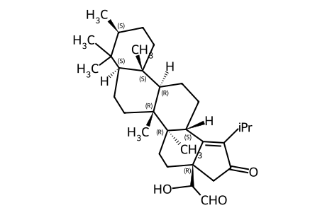 CC(C)C1=C2[C@H]3CC[C@@H]4[C@@]5(C)CC[C@H](C)C(C)(C)[C@@H]5CC[C@@]4(C)[C@]3(C)CC[C@@]2(C(O)C=O)CC1=O